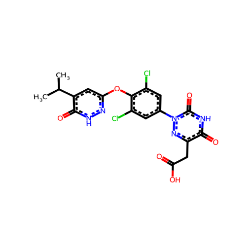 CC(C)c1cc(Oc2c(Cl)cc(-n3nc(CC(=O)O)c(=O)[nH]c3=O)cc2Cl)n[nH]c1=O